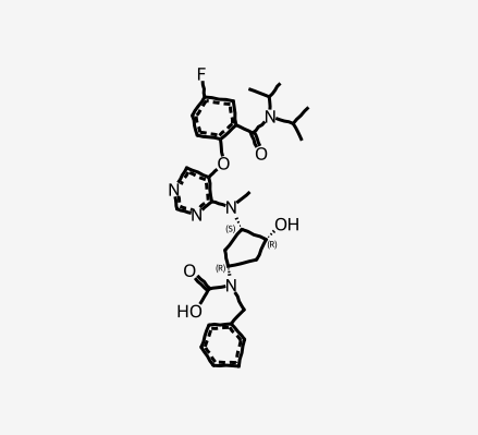 CC(C)N(C(=O)c1cc(F)ccc1Oc1cncnc1N(C)[C@H]1C[C@@H](N(Cc2ccccc2)C(=O)O)C[C@H]1O)C(C)C